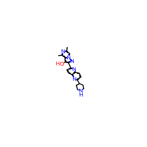 Cc1cn2nc(-c3ccc4nc(C5CCNCC5)ccc4n3)c(O)c2c(C)n1